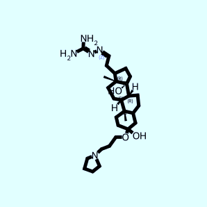 C[C@]12CCC(O)(OCCCN3CCCC3)CC1CC[C@@H]1[C@H]2CC[C@]2(C)C(C/C=N\N=C(N)N)CC[C@@]12O